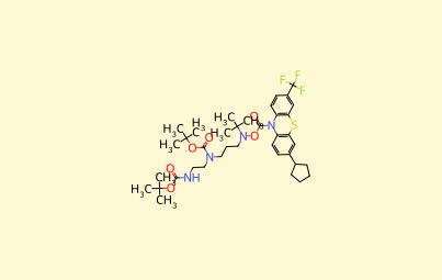 CC(C)(C)OC(=O)NCCN(CCCN(OC(=O)N1c2ccc(C3CCCC3)cc2Sc2cc(C(F)(F)F)ccc21)C(C)(C)C)C(=O)OC(C)(C)C